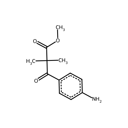 COC(=O)C(C)(C)C(=O)c1ccc(N)cc1